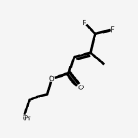 C/C(=C\C(=O)OCCC(C)C)C(F)F